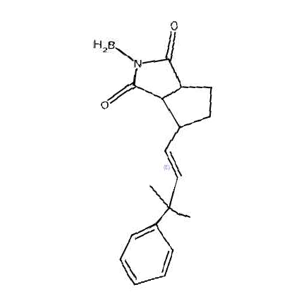 BN1C(=O)C2CCC(/C=C/C(C)(C)c3ccccc3)C2C1=O